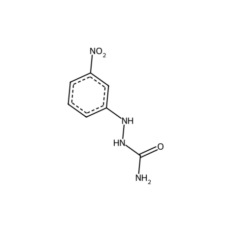 NC(=O)NNc1cccc([N+](=O)[O-])c1